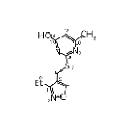 CCc1nocc1CSc1nc(C)cc(O)n1